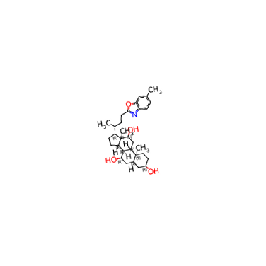 Cc1ccc2nc(CCC(C)[C@H]3CC[C@H]4[C@@H]5[C@H](O)C[C@@H]6C[C@H](O)CC[C@]6(C)[C@H]5C[C@H](O)[C@]34C)oc2c1